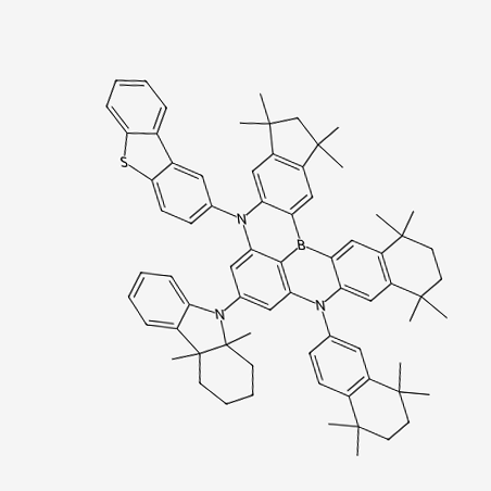 CC1(C)CCC(C)(C)c2cc(N3c4cc5c(cc4B4c6cc7c(cc6N(c6ccc8sc9ccccc9c8c6)c6cc(N8c9ccccc9C9(C)CCCCC89C)cc3c64)C(C)(C)CC7(C)C)C(C)(C)CCC5(C)C)ccc21